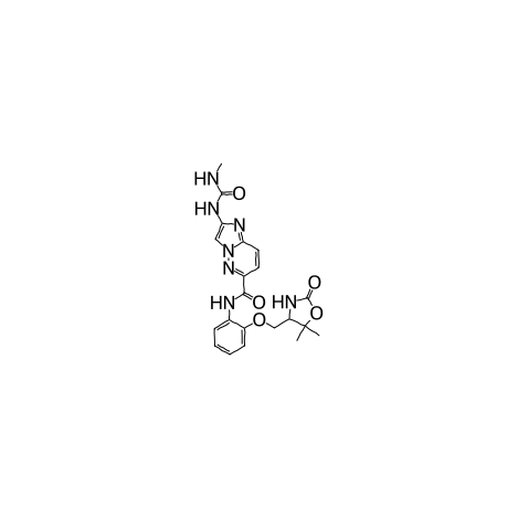 CNC(=O)Nc1cn2nc(C(=O)Nc3ccccc3OCC3NC(=O)OC3(C)C)ccc2n1